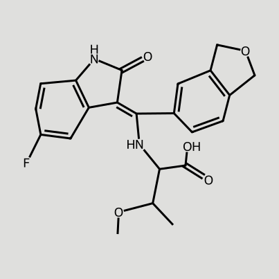 COC(C)C(NC(=C1C(=O)Nc2ccc(F)cc21)c1ccc2c(c1)COC2)C(=O)O